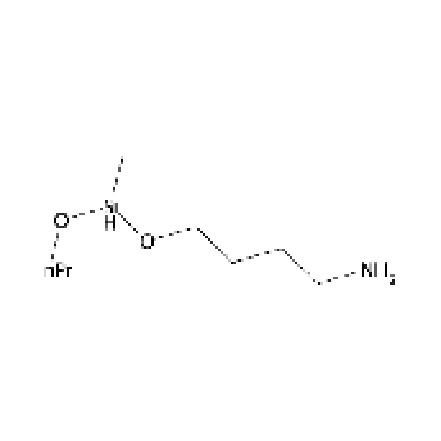 CCCO[SiH](C)OCCCCN